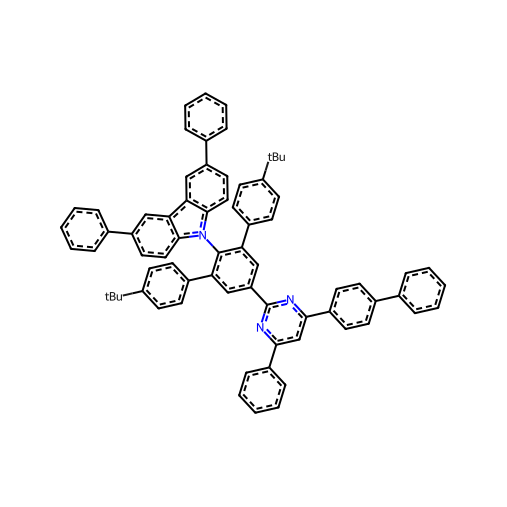 CC(C)(C)c1ccc(-c2cc(-c3nc(-c4ccccc4)cc(-c4ccc(-c5ccccc5)cc4)n3)cc(-c3ccc(C(C)(C)C)cc3)c2-n2c3ccc(-c4ccccc4)cc3c3cc(-c4ccccc4)ccc32)cc1